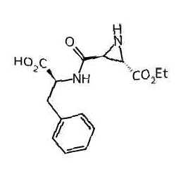 CCOC(=O)[C@H]1N[C@@H]1C(=O)N[C@@H](Cc1ccccc1)C(=O)O